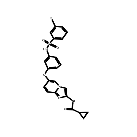 O=C(Nc1cn2cc(Oc3cccc(NS(=O)(=O)c4cccc(F)c4)c3)ccc2n1)C1CC1